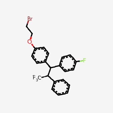 Fc1ccc(C(c2ccc(OCCBr)cc2)C(c2ccccc2)C(F)(F)F)cc1